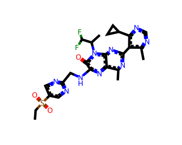 CCS(=O)(=O)c1cnc(CNc2nc3c(C)nc(-c4c(C)ncnc4C4CC4)nc3n(C(C)C(F)F)c2=O)nc1